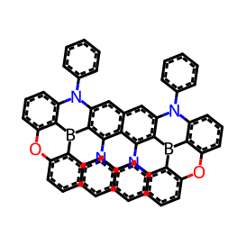 c1ccc(N2c3cccc4c3B3c5c(cccc5N(c5ccccc5)c5c3c2cc2cc3c6c(c52)N(c2ccccc2)c2cccc5c2B6c2c(cccc2N3c2ccccc2)O5)O4)cc1